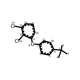 CC(C)(C)c1ccc(Oc2cccc(Cl)c2Cl)cc1